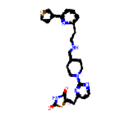 O=C1NC(=O)/C(=C\c2ccnc(N3CCC(CNCCc4cccc(-c5ccsc5)n4)CC3)n2)S1